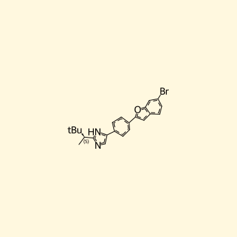 C[C@H](c1ncc(-c2ccc(-c3cc4ccc(Br)cc4o3)cc2)[nH]1)C(C)(C)C